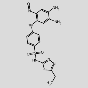 CCc1nnc(NS(=O)(=O)c2ccc(Nc3cc(N)c(N)cc3N=O)cc2)s1